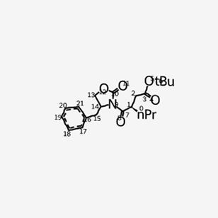 CCC[C@H](CC(=O)OC(C)(C)C)C(=O)N1C(=O)OCC1Cc1ccccc1